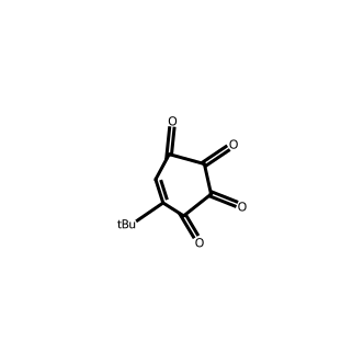 CC(C)(C)c1cc(=O)c(=O)c(=O)c1=O